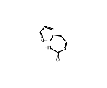 O=C1C=CCC2C=CC=NC2N1